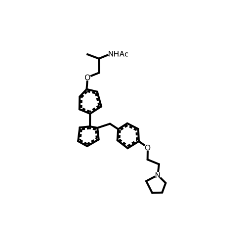 CC(=O)NC(C)COc1ccc(-c2ccccc2Cc2ccc(OCCN3CCCC3)cc2)cc1